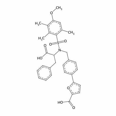 COc1cc(C)c(S(=O)(=O)N(Cc2ccc(-c3ccc(C(=O)O)o3)cc2)C(Cc2ccccc2)C(=O)O)c(C)c1C